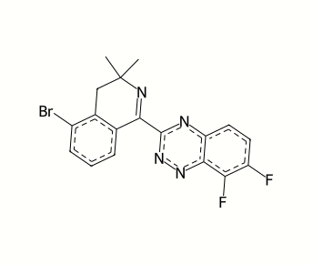 CC1(C)Cc2c(Br)cccc2C(c2nnc3c(F)c(F)ccc3n2)=N1